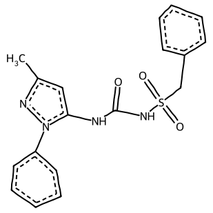 Cc1cc(NC(=O)NS(=O)(=O)Cc2ccccc2)n(-c2ccccc2)n1